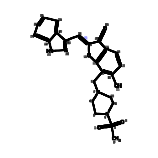 CS(=O)(=O)N1CCN(Cc2c(O)ccc3c2O/C(=C\c2n[nH]c4ccccc24)C3=O)CC1